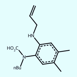 C=CCNc1cc(C)c(C)cc1N(CCCC)C(=O)O